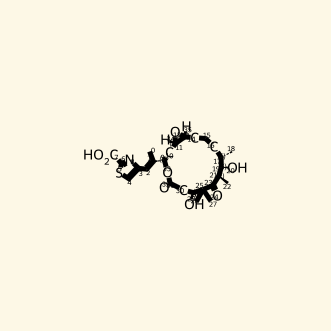 CC(=Cc1csc(C(=O)O)n1)[C@@H]1C[C@@H]2O[C@@H]2CCC[C@H](C)[C@H](O)[C@@H](C)C(=O)C(C)(C)[C@@H](O)CC(=O)O1